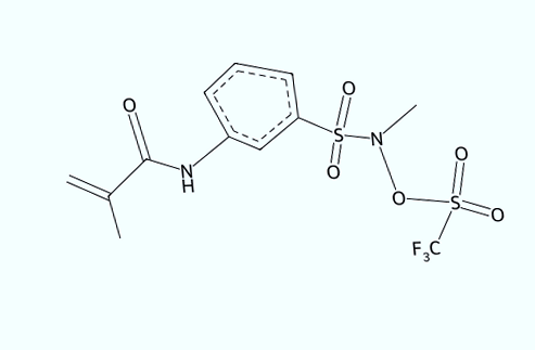 C=C(C)C(=O)Nc1cccc(S(=O)(=O)N(C)OS(=O)(=O)C(F)(F)F)c1